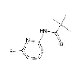 CC(C)(C)C(=O)Nc1cccc(F)n1